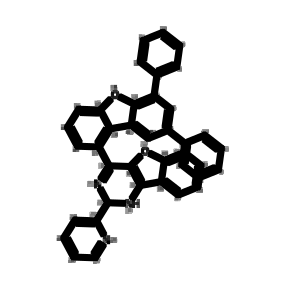 c1ccc(-c2cc(-c3ccccc3)c3oc4cccc(C5=NC(c6ccccn6)Nc6c5oc5ccccc65)c4c3c2)cc1